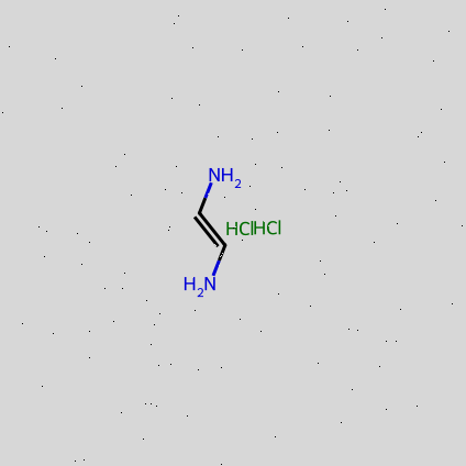 Cl.Cl.NC=CN